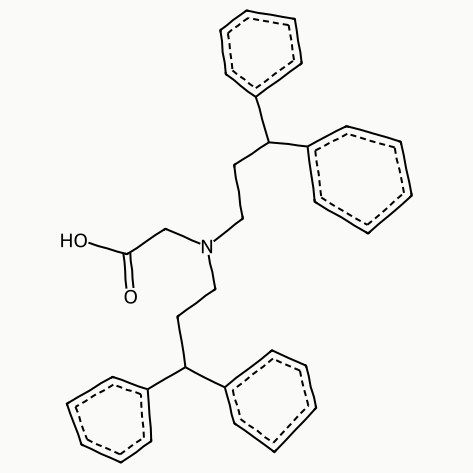 O=C(O)CN(CCC(c1ccccc1)c1ccccc1)CCC(c1ccccc1)c1ccccc1